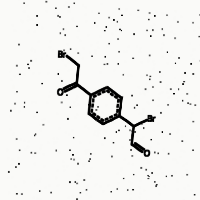 O=CC(Br)c1ccc(C(=O)CBr)cc1